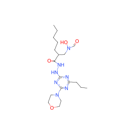 CCCCCC(CN(O)C=O)C(=O)NNc1nc(CCC)nc(N2CCOCC2)n1